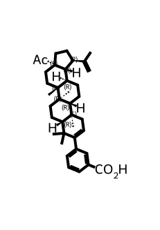 C=C(C)[C@@H]1CC[C@]2(C(C)=O)CC[C@]3(C)[C@H](CC[C@@H]4[C@@]5(C)CC=C(c6cccc(C(=O)O)c6)C(C)(C)[C@@H]5CC[C@]43C)[C@@H]12